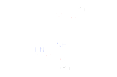 CC(C)(C)OC(=O)CC[C@@H](CN)NC(=O)OC(C)(C)C